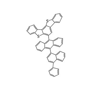 c1ccc(-c2ccc(-c3c4ccccc4c(-c4cc5c6ccccc6sc5c5c4sc4ccccc45)c4ccccc34)c3ccccc23)cc1